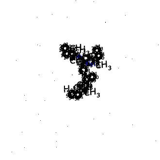 CN1/C(=C/C=C2\CCCC(/C=C/C3=[N+](C)c4ccc5ccccc5c4C3(C)C)=C2OC2CCN(c3cc4c(c5ccccc35)N=CC3(O4)N(C)c4ccc5ccccc5c4C3(C)C)CC2)C(C)(C)c2c1ccc1ccccc21